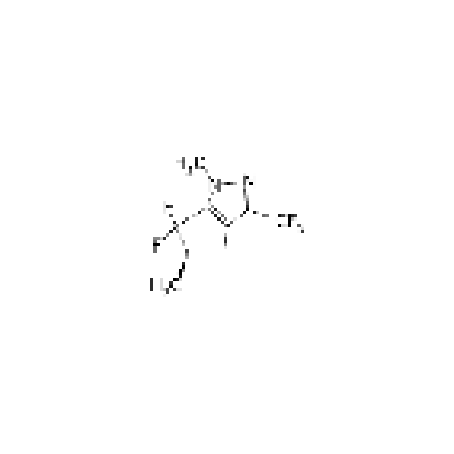 C[C@@H]1Cc2c(C(F)(F)F)nn(C)c2C1(F)F